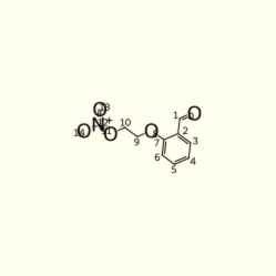 O=Cc1ccccc1OCCO[N+](=O)[O-]